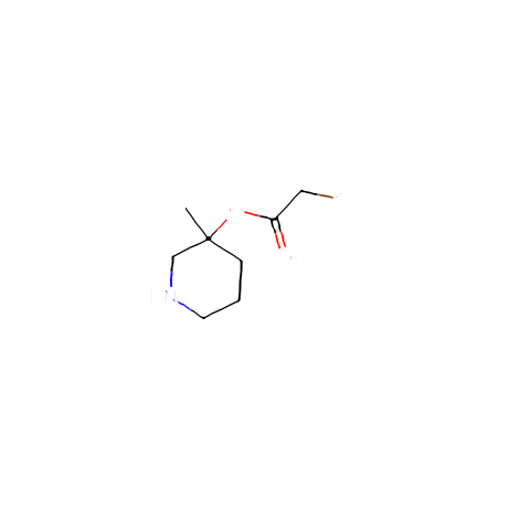 CC1(OC(=O)CS)CCCNC1